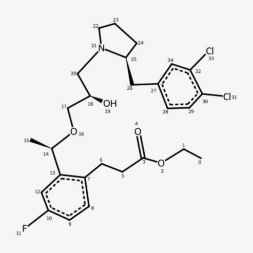 CCOC(=O)CCc1ccc(F)cc1[C@@H](C)OC[C@H](O)CN1CCC[C@H]1Cc1ccc(Cl)c(Cl)c1